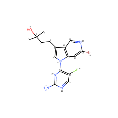 CC(C)(O)CCc1cn(-c2nc(N)ncc2F)c2cc(Br)ncc12